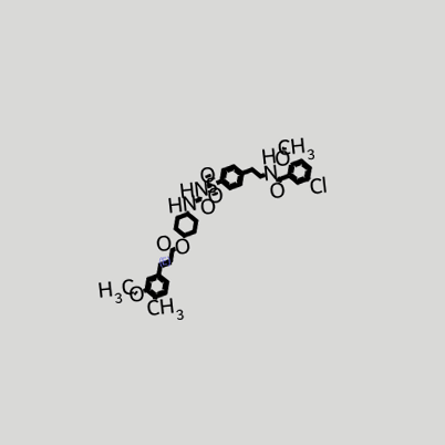 COc1cc(/C=C/C(=O)O[C@H]2CC[C@H](NC(=O)NS(=O)(=O)c3ccc(CCNC(=O)c4cc(Cl)ccc4OC)cc3)CC2)ccc1C